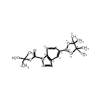 CC(C)(C)OC(=O)n1ncc2cc(B3OC(C)(C)C(C)(C)O3)cnc21